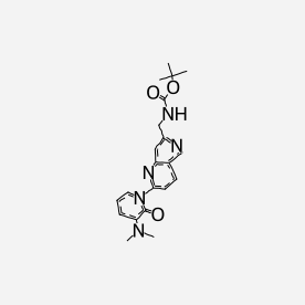 CN(C)c1cccn(-c2ccc3cnc(CNC(=O)OC(C)(C)C)cc3n2)c1=O